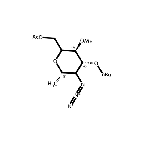 CCCCO[C@@H]1C(N=[N+]=[N-])[C@H](C)OC(COC(C)=O)[C@H]1OC